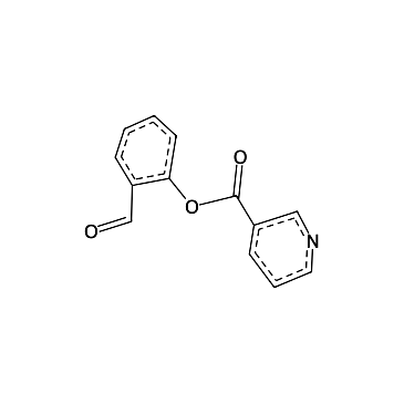 O=Cc1ccccc1OC(=O)c1cccnc1